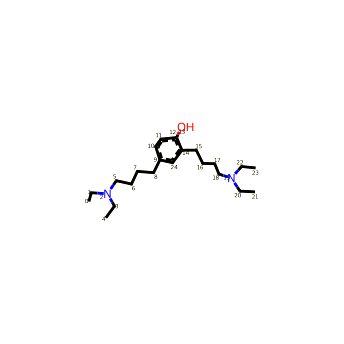 CCN(CC)CCCCc1ccc(O)c(CCCCN(CC)CC)c1